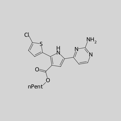 CCCCCOC(=O)c1cc(-c2ccnc(N)n2)[nH]c1-c1ccc(Cl)s1